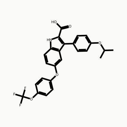 CC(C)Oc1ccc(-c2c(C(=O)O)[nH]c3ccc(Oc4ccc(OC(F)(F)F)cc4)cc23)cc1